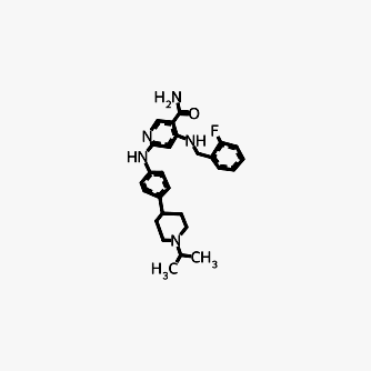 CC(C)N1CCC(c2ccc(Nc3cc(NCc4ccccc4F)c(C(N)=O)cn3)cc2)CC1